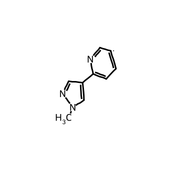 Cn1cc(-c2cc[c]cn2)cn1